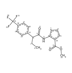 CCC(C(=O)Nc1sccc1C(=O)OC)c1ccc(C(F)(F)F)cc1